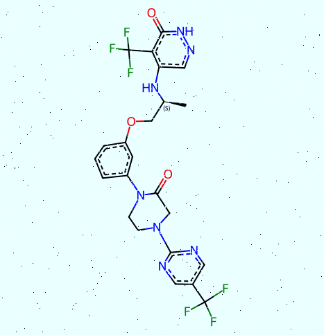 C[C@@H](COc1cccc(N2CCN(c3ncc(C(F)(F)F)cn3)CC2=O)c1)Nc1cn[nH]c(=O)c1C(F)(F)F